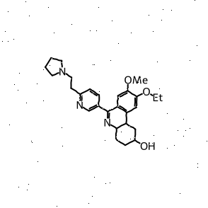 CCOc1cc2c(cc1OC)C(c1ccc(CCN3CCCC3)nc1)=NC1CCC(O)CC21